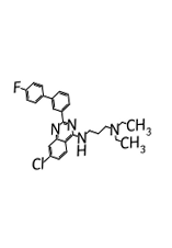 CCN(CC)CCCNc1nc(-c2cccc(-c3ccc(F)cc3)c2)nc2cc(Cl)ccc12